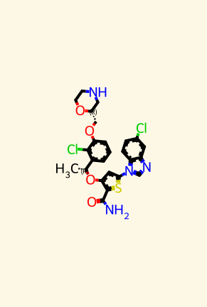 C[C@@H](Oc1cc(-n2cnc3cc(Cl)ccc32)sc1C(N)=O)c1cccc(OC[C@H]2CNCCO2)c1Cl